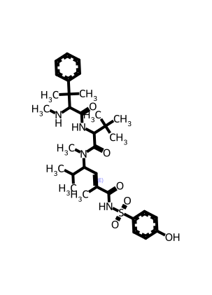 CNC(C(=O)NC(C(=O)N(C)C(/C=C(\C)C(=O)NS(=O)(=O)c1ccc(O)cc1)C(C)C)C(C)(C)C)C(C)(C)c1ccccc1